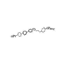 CCCCCC1CCC(CCCOc2ccc(-c3ccc(C4CCC(CCC)CC4)cc3)cc2)CC1